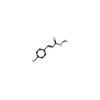 CCC(C)OC(=O)/C=C/c1ccc(Cl)cc1